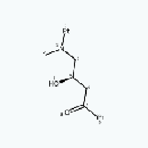 CCN(C)C[C@H](O)CC(=O)C(C)C